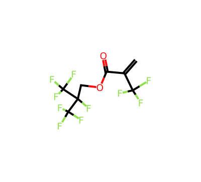 C=C(C(=O)OCC(F)(C(F)(F)F)C(F)(F)F)C(F)(F)F